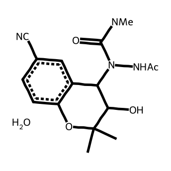 CNC(=O)N(NC(C)=O)C1c2cc(C#N)ccc2OC(C)(C)C1O.O